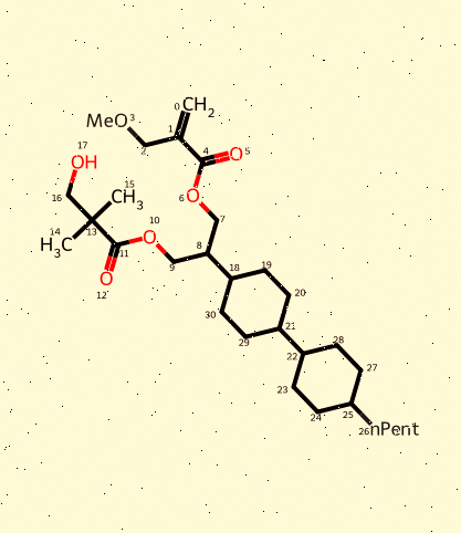 C=C(COC)C(=O)OCC(COC(=O)C(C)(C)CO)C1CCC(C2CCC(CCCCC)CC2)CC1